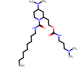 CCCCCCCCCCCCCCCCCCNC(=O)N1CCC(N(C)C)CC1CCOC(=O)NCCCN(C)C